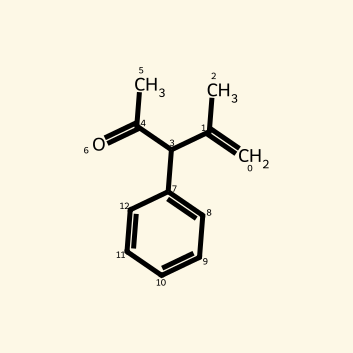 C=C(C)C(C(C)=O)c1ccccc1